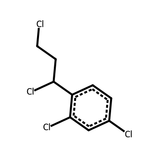 ClCCC(Cl)c1ccc(Cl)cc1Cl